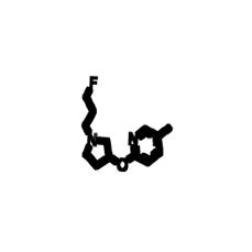 Cc1ccc(OC2CCN(CCCF)C2)nc1